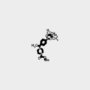 CC(c1ccc(B2OC(C)(C)C(C)(C)O2)cc1)N1CCN(C(=O)OC(C)(C)C)CC1